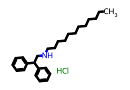 CCCCCCCCCCCCNCC(c1ccccc1)c1ccccc1.Cl